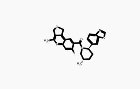 C[C@H]1CC[C@H](c2ccc3ncsc3c2)N(C(=O)c2cc3c4c(c(N)nc3cc2F)COC4)C1